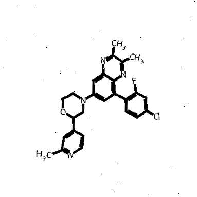 Cc1cc(C2CN(c3cc(-c4ccc(Cl)cc4F)c4nc(C)c(C)nc4c3)CCO2)ccn1